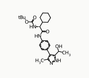 Cc1n[nH]c(C(C)O)c1-c1ccc(NC(=O)[C@@H](NC(=O)OC(C)(C)C)C2CCCCC2)cc1